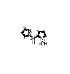 Cn1cccc1Nn1cccn1